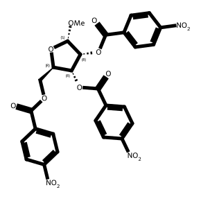 CO[C@H]1O[C@H](COC(=O)c2ccc([N+](=O)[O-])cc2)[C@@H](OC(=O)c2ccc([N+](=O)[O-])cc2)[C@H]1OC(=O)c1ccc([N+](=O)[O-])cc1